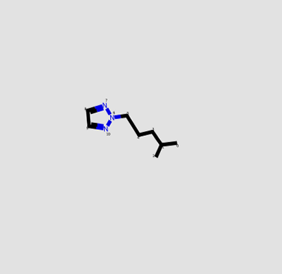 CC(C)CCCn1nccn1